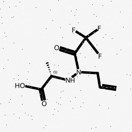 C=CCN(N[C@@H](C)C(=O)O)C(=O)C(F)(F)F